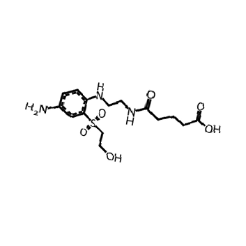 Nc1ccc(NCCNC(=O)CCCC(=O)O)c(S(=O)(=O)CCO)c1